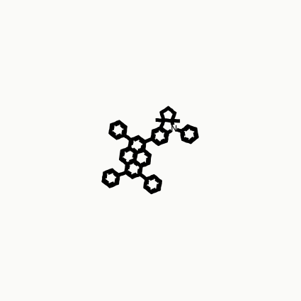 CC12CCCC1(C)N(c1ccccc1)c1ccc(-c3cc(-c4ccccc4)c4ccc5c(-c6ccccc6)cc(-c6ccccc6)c6ccc3c4c56)cc12